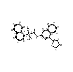 O=S(=O)(NCc1nc(N2CCCC2)c2ccccc2n1)c1cccc2ccccc12